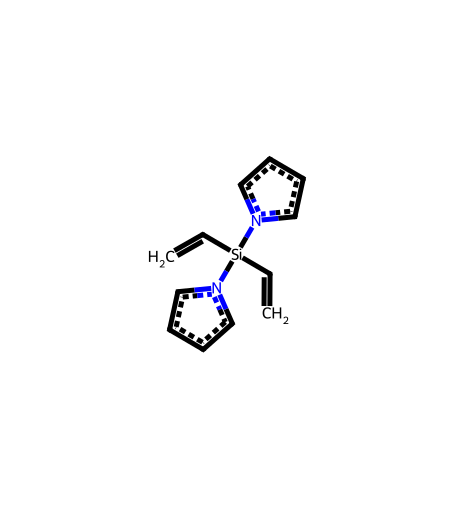 C=C[Si](C=C)(n1cccc1)n1cccc1